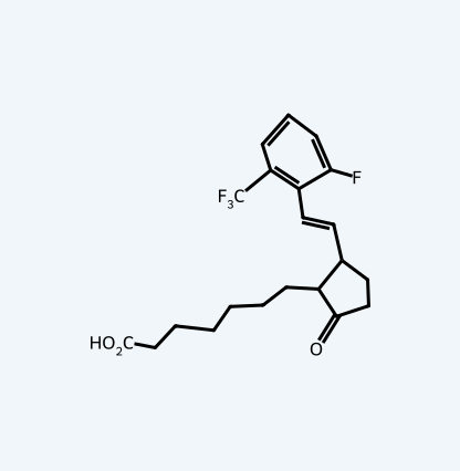 O=C(O)CCCCCCC1C(=O)CCC1/C=C/c1c(F)cccc1C(F)(F)F